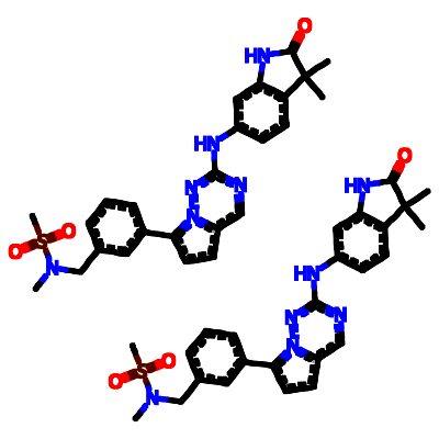 CN(Cc1cccc(-c2ccc3cnc(Nc4ccc5c(c4)NC(=O)C5(C)C)nn23)c1)S(C)(=O)=O.CN(Cc1cccc(-c2ccc3cnc(Nc4ccc5c(c4)NC(=O)C5(C)C)nn23)c1)S(C)(=O)=O